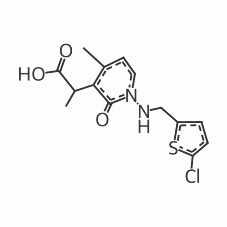 Cc1ccn(NCc2ccc(Cl)s2)c(=O)c1C(C)C(=O)O